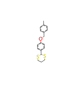 Cc1ccc(COc2ccc(C3SCCCS3)cc2)cc1